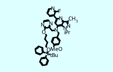 COc1ccc(CN(Cc2nccnc2OCCCCO[Si](c2ccccc2)(c2ccccc2)C(C)(C)C)c2cc(-c3cccnc3F)nc3c(C)nn(C(C)C)c23)cc1